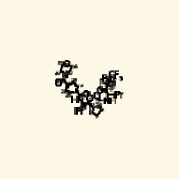 CC(C)C(NC(=O)[C@@H]1CCCN1C(=O)[C@@H](NC(=O)c1ccc(C(=O)N2CCOCC2)cc1)C(C)C)C(=O)C(F)(F)C(F)(F)C(F)(F)F